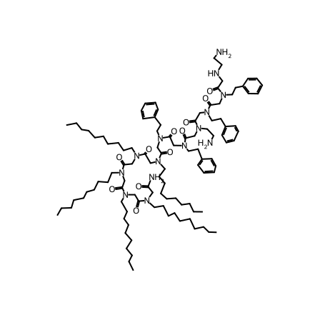 CCCCCCCCCCN(CC(N)=O)C(=O)CN(CCCCCCCCCC)C(=O)CN(CCCCCCCCCC)C(=O)CN(CCCCCCCCCC)C(=O)CN(CCCCCCCCCC)C(=O)CN(CCc1ccccc1)C(=O)CN(CCc1ccccc1)C(=O)CN(CCN)C(=O)CN(CCc1ccccc1)C(=O)CN(CCc1ccccc1)C(=O)CNCCN